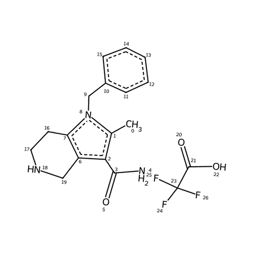 Cc1c(C(N)=O)c2c(n1Cc1ccccc1)CCNC2.O=C(O)C(F)(F)F